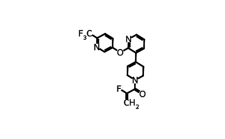 C=C(F)C(=O)N1CC=C(c2cccnc2Oc2ccc(C(F)(F)F)nc2)CC1